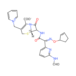 O=CNc1cccc(C(=NOC2C=CCC2)C(=O)NC2C(=O)N3C(C(=O)[O-])=C(C[n+]4ccccc4)CS[C@@H]23)n1